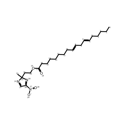 CCCCCC=CCC=CCCCCCCCC(=O)OCCC1(C)N=CC([N+](=O)[O-])=N1